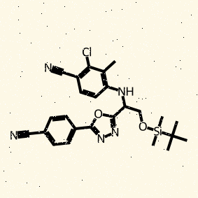 Cc1c(NC(CO[Si](C)(C)C(C)(C)C)c2nnc(-c3ccc(C#N)cc3)o2)ccc(C#N)c1Cl